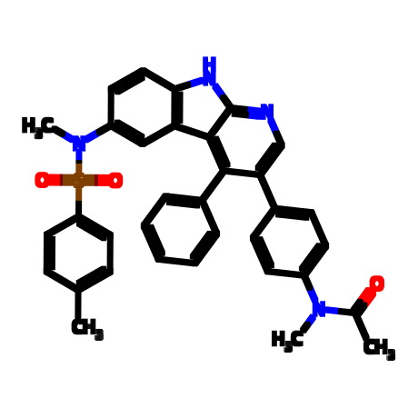 CC(=O)N(C)c1ccc(-c2cnc3[nH]c4ccc(N(C)S(=O)(=O)c5ccc(C)cc5)cc4c3c2-c2ccccc2)cc1